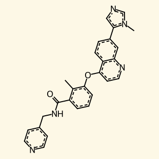 Cc1c(Oc2ccnc3cc(-c4cncn4C)ccc23)cccc1C(=O)NCc1ccncc1